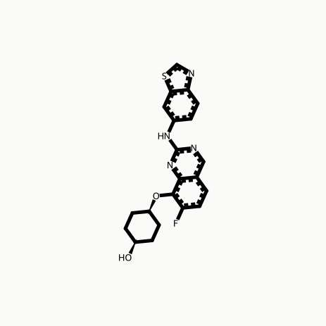 O[C@H]1CC[C@@H](Oc2c(F)ccc3cnc(Nc4ccc5ncsc5c4)nc23)CC1